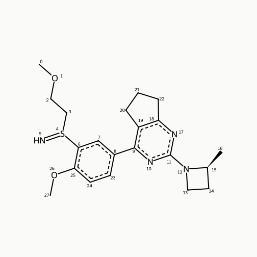 COCCS(=N)c1cc(-c2nc(N3CC[C@@H]3C)nc3c2CCC3)ccc1OC